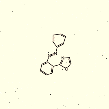 c1ccc(N=Nc2ccccc2-c2ncco2)cc1